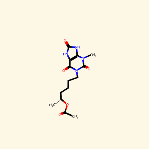 CC(=O)O[C@H](C)CCCCn1c(=O)c2[nH]c(=O)[nH]c2n(C)c1=O